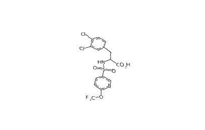 O=C(O)C(Cc1ccc(Cl)c(Cl)c1)NS(=O)(=O)c1ccc(OC(F)(F)F)cc1